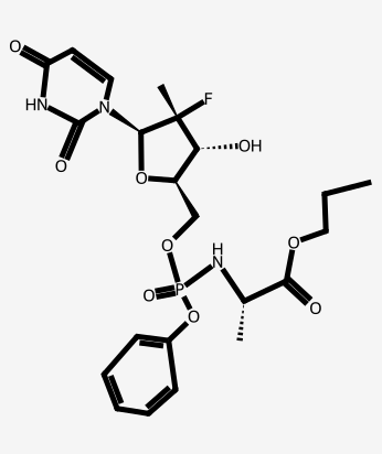 CCCOC(=O)[C@H](C)NP(=O)(OC[C@H]1O[C@@H](n2ccc(=O)[nH]c2=O)[C@](C)(F)[C@@H]1O)Oc1ccccc1